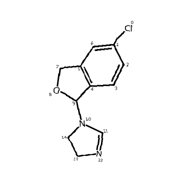 Clc1ccc2c(c1)COC2N1C=NCC1